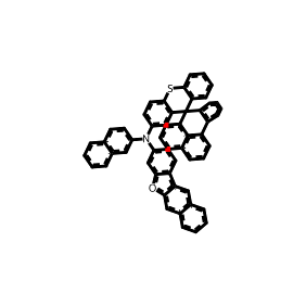 c1ccc2c(c1)Sc1ccc(N(c3ccc4ccccc4c3)c3ccc4c(c3)oc3cc5ccccc5cc34)cc1C21c2ccccc2-c2cccc3cccc1c23